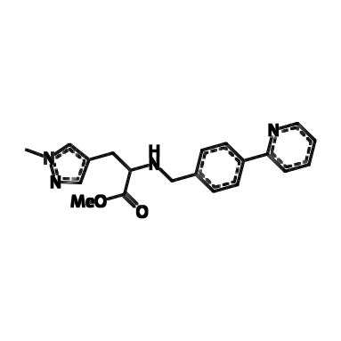 COC(=O)C(Cc1cnn(C)c1)NCc1ccc(-c2ccccn2)cc1